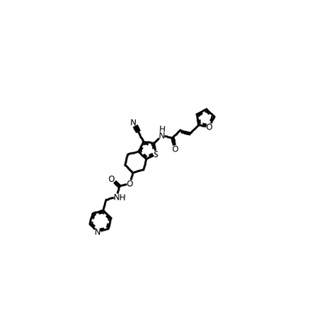 N#Cc1c(NC(=O)C=Cc2ccco2)sc2c1CCC(OC(=O)NCc1ccncc1)C2